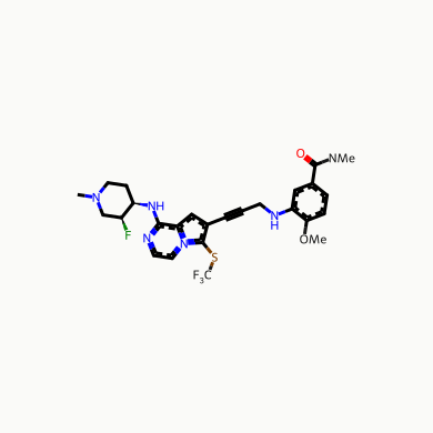 CNC(=O)c1ccc(OC)c(NCC#Cc2cc3c(N[C@@H]4CCN(C)C[C@@H]4F)nccn3c2SC(F)(F)F)c1